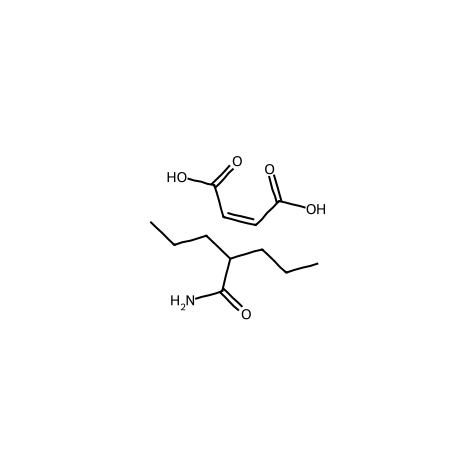 CCCC(CCC)C(N)=O.O=C(O)/C=C\C(=O)O